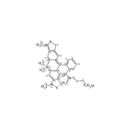 CN(CCCC(=O)O)C(=O)c1ccccc1C1=c2cc3c(cc2[Si](C)(C)c2cc4c(cc21)CCN4C)=[N+](C)CC3